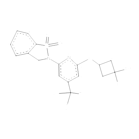 O=S1(=O)c2ccccc2CN1c1cc(C(F)(F)F)cc(OC2CC(F)(F)C2)n1